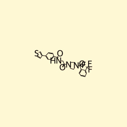 O=C(NCC(=O)N1CCN(C(=O)c2ccccc2C(F)(F)F)CC1)c1ccc(-c2ccsc2)cc1